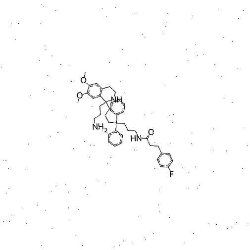 COc1cc2c(cc1OC)C(CCCN)(CCCC(CCCNC(=O)CCc1ccc(F)cc1)(c1ccccc1)c1ccccc1)NCC2